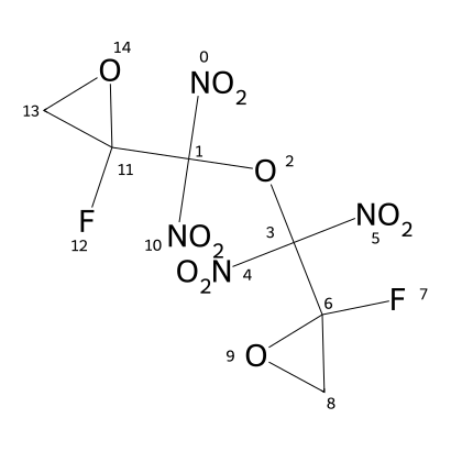 O=[N+]([O-])C(OC([N+](=O)[O-])([N+](=O)[O-])C1(F)CO1)([N+](=O)[O-])C1(F)CO1